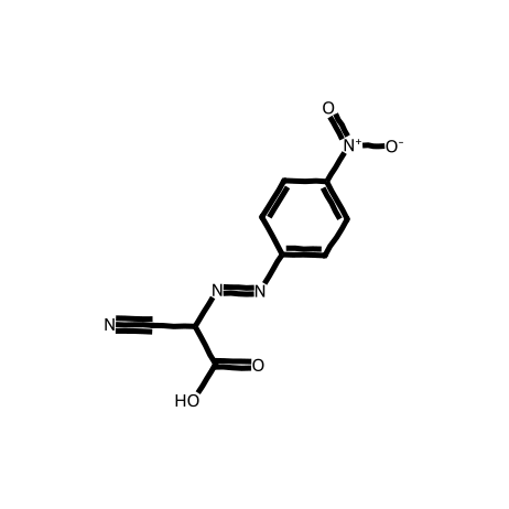 N#CC(N=Nc1ccc([N+](=O)[O-])cc1)C(=O)O